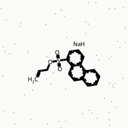 C=CCOS(=O)(=O)c1cccc2c1ccc1ccccc12.[NaH]